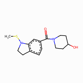 CSN1CCc2ccc(C(=O)N3CCC(O)CC3)cc21